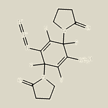 [N-]=[N+]=NC1=C(F)C(F)(N2CCCC2=O)C(C(=O)O)=C(F)C1(F)N1CCCC1=O